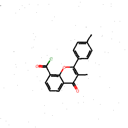 Cc1ccc(-c2oc3c(C(=O)Cl)cccc3c(=O)c2C)cc1